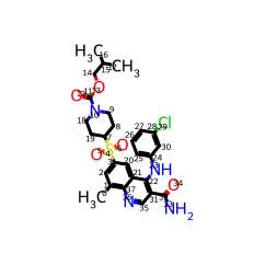 Cc1cc(S(=O)(=O)C2CCN(C(=O)OCC(C)C)CC2)cc2c(Nc3cccc(Cl)c3)c(C(N)=O)cnc12